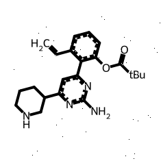 C=Cc1cccc(OC(=O)C(C)(C)C)c1-c1cc(C2CCCNC2)nc(N)n1